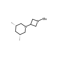 C[C@@H]1C[C@H](C)CN(C2CN(C(C)(C)C)C2)C1